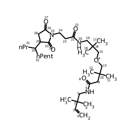 C=CC(C)(C)CNC(=O)CC(C)(C)COCC(C)(C)CNC(=O)CCN1C(=O)CC(C(CCC)CCCCC)C1=O